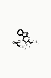 C=CC(=O)Cl.C=CC(=O)N(C)Cc1c[nH]c2ccccc12